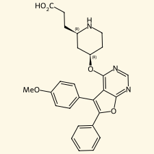 COc1ccc(-c2c(-c3ccccc3)oc3ncnc(O[C@@H]4CCN[C@H](CCC(=O)O)C4)c23)cc1